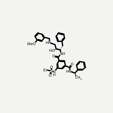 CCS(=O)(=O)Nc1cc(C(=O)N[C@@H](Cc2ccccc2)[C@H](O)CNCc2cccc(OC)c2)cc(C(=O)N[C@H](C)c2ccccc2)c1